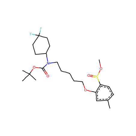 COS(=O)c1ccc(C)cc1OCCCCCN(C(=O)OC(C)(C)C)C1CCC(F)(F)CC1